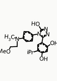 COCCN(C)c1ccc(-n2c(O)nnc2-c2cc(C(C)C)c(O)cc2O)cc1